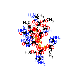 CC[C@H]1O[C@@H](n2cnc3c(N)ncnc32)CC1OP(O)(=S)OC[C@H]1O[C@@H](n2cnc3c(N)ncnc32)[C@@H](OCCOC)C1OP(O)(=S)OC[C@H]1O[C@@H](n2cnc3c(=O)[nH]c(N)nc32)[C@@H](OCCOC)C1OP(O)(=S)OC[C@H]1O[C@@H](n2cc(C)c(=O)[nH]c2=O)[C@@H](OCCOC)C1OP(O)(=S)OC[C@H]1O[C@@H](n2cnc3c(=O)[nH]c(N)nc32)[C@@H](OCCOC)C1OP(O)(=S)OC[C@H]1O[C@@H](n2cc(C)c(N)nc2=O)[C@@H](OCCOC)C1O